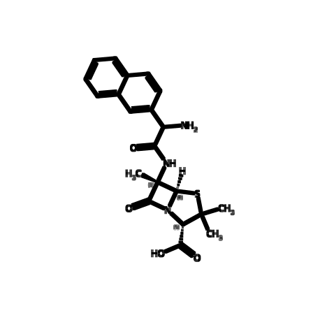 CC1(C)S[C@H]2N(C(=O)[C@]2(C)NC(=O)C(N)c2ccc3ccccc3c2)[C@H]1C(=O)O